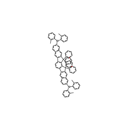 Cc1ccccc1N(c1ccc2cc3c(cc2c1)C(c1ccccc1)(c1ccccc1)c1c-3ccc2c1C(c1ccccc1)(c1ccccc1)c1cc3cc(N(c4ccccc4C)c4ccccc4C)ccc3cc1-2)c1ccccc1C